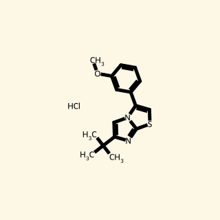 COc1cccc(-c2csc3nc(C(C)(C)C)cn23)c1.Cl